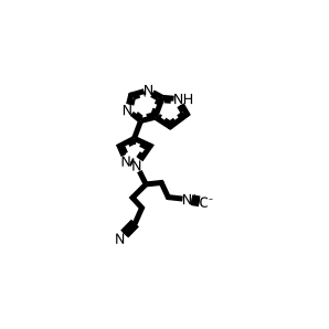 [C-]#[N+]CCC(CCC#N)n1cc(-c2ncnc3[nH]ccc23)cn1